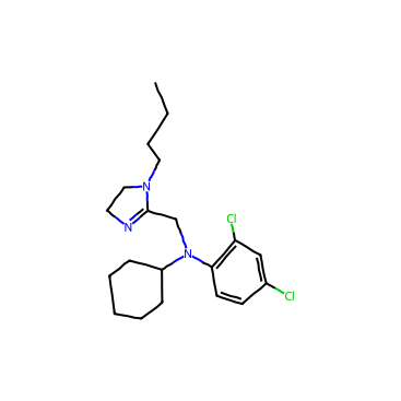 CCCCN1CCN=C1CN(c1ccc(Cl)cc1Cl)C1CCCCC1